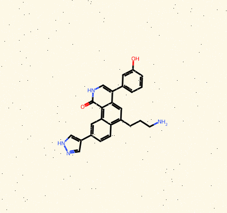 NCCCc1cc2c(-c3cccc(O)c3)c[nH]c(=O)c2c2cc(-c3cn[nH]c3)ccc12